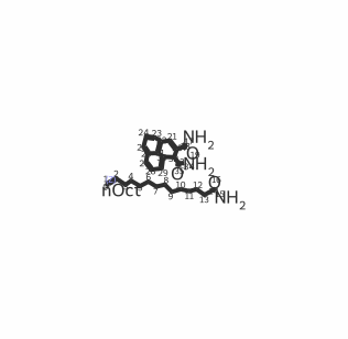 CCCCCCCC/C=C\CCCCCCCCCCCC(N)=O.NC(=O)C1=Cc2cccc3cccc(c23)C1C(N)=O